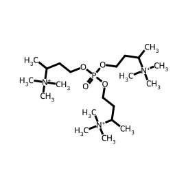 CC(CCOP(=O)(OCCC(C)[N+](C)(C)C)OCCC(C)[N+](C)(C)C)[N+](C)(C)C